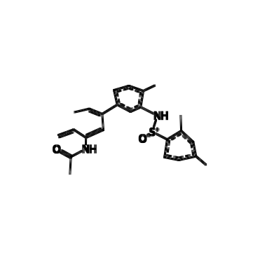 C=C/C(=C\C(=C/C)c1ccc(C)c(N[S+]([O-])c2ccc(C)cc2C)c1)NC(C)=O